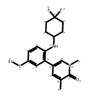 CCSc1ccc(NC2CCC(F)(F)CC2)c(-c2cc(C)c(=O)n(C)c2)c1